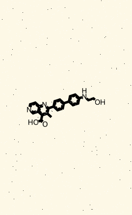 Cc1c(-c2ccc(-c3ccc(NCCO)cc3)cc2)nc2ccncc2c1C(=O)O